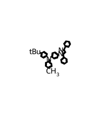 Cc1ccc(N(c2ccc(-n3nc(-c4ccccc4)cc3-c3ccccc3)cc2)c2ccc(C(C)(C)C)cc2)cc1